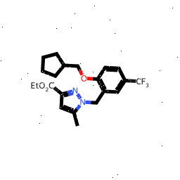 CCOC(=O)c1cc(C)n(Cc2cc(C(F)(F)F)ccc2OCC2CCCC2)n1